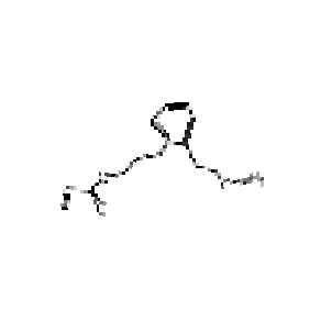 C=CC(=O)OCCCc1ccccc1CCO[SiH3]